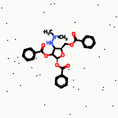 C=[N+](C)NC1C(OC(=O)c2ccccc2)[C@@H](OC(=O)c2ccccc2)O[C@@H]1COC(=O)c1ccccc1